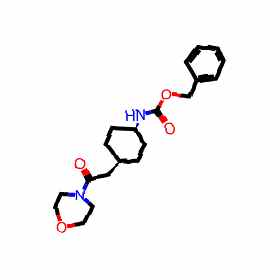 O=C(N[C@H]1CC[C@H](CC(=O)N2CCOCC2)CC1)OCc1ccccc1